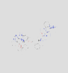 Cc1ccc(N/C(=C\C(=N)C(C)(C)C)NC(=O)N[C@H]2CCC(Oc3ccc4nnc([C@]5(CO[Si](C(C)C)(C(C)C)C(C)C)CCCN5C)n4c3)c3ccccc32)cc1